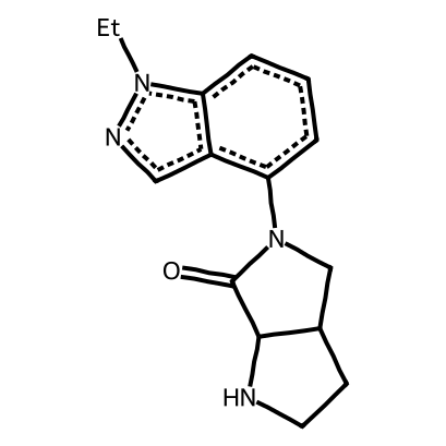 CCn1ncc2c(N3CC4CCNC4C3=O)cccc21